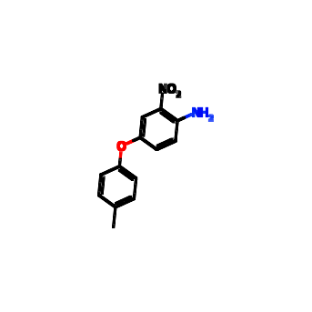 Cc1ccc(Oc2ccc(N)c([N+](=O)[O-])c2)cc1